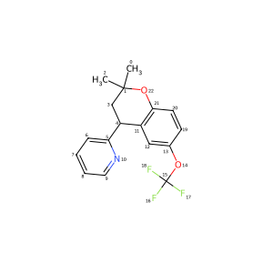 CC1(C)CC(c2ccccn2)c2cc(OC(F)(F)F)ccc2O1